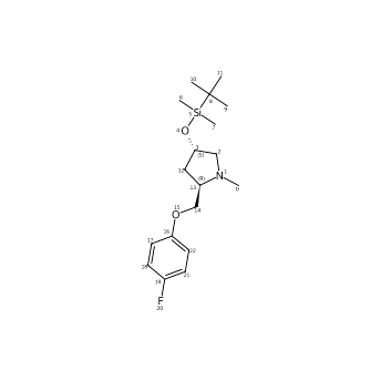 CN1C[C@@H](O[Si](C)(C)C(C)(C)C)C[C@@H]1COc1ccc(F)cc1